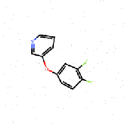 Fc1ccc(Oc2cc[c]nc2)cc1F